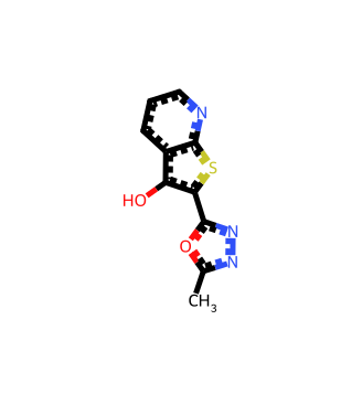 Cc1nnc(-c2sc3ncccc3c2O)o1